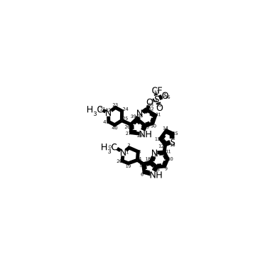 CN1CCC(c2c[nH]c3ccc(-c4cccs4)nc23)CC1.CN1CCC(c2c[nH]c3ccc(OS(=O)(=O)C(F)(F)F)nc23)CC1